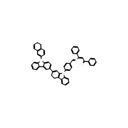 N=C(/C=C(\N=C\c1ccc(-n2c3c(c4ccccc42)CCC(c2ccc4c(c2)c2ccccc2n4-c2ccc4c(c2)C=CCC4)=C3)cc1)c1ccccc1)c1ccccc1